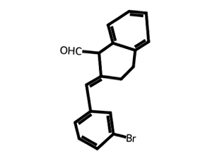 O=CC1/C(=C/c2cccc(Br)c2)CCc2ccccc21